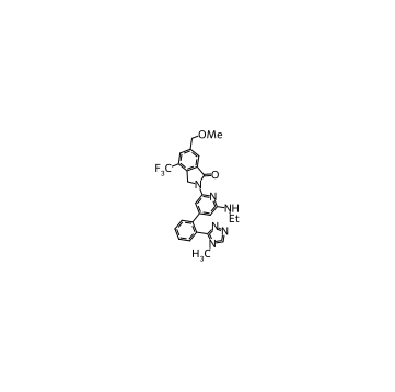 CCNc1cc(-c2ccccc2-c2nncn2C)cc(N2Cc3c(cc(COC)cc3C(F)(F)F)C2=O)n1